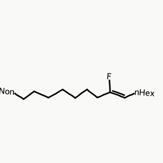 CCCCCCC=C(F)CCCCCCCCCCCCCCCC